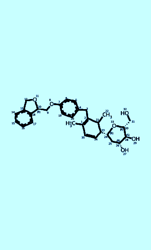 CC1=C(Cc2ccc(OC[C@@H]3OCc4ccccc43)cc2)C(C)C([C@H]2C[C@@H](O)[C@H](O)[C@@H](CO)O2)C=C1